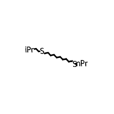 CCCSCCCCCCCCCCSCCC(C)C